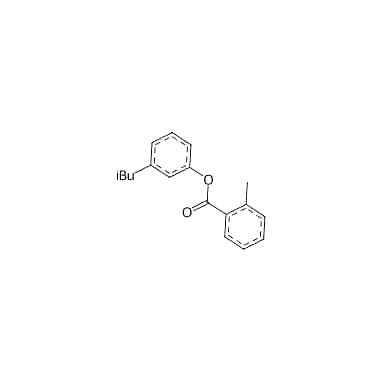 CCC(C)c1cccc(OC(=O)c2ccccc2C)c1